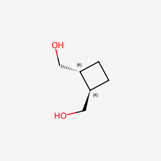 OC[C@@H]1CC[C@H]1CO